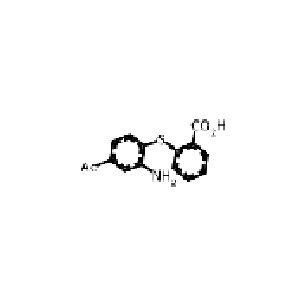 CC(=O)c1ccc(Sc2ccccc2C(=O)O)c(N)c1